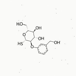 OCc1cccc(O[C@@H]2[C@@H](O)[C@H](O)[C@@H](CO)O[C@H]2S)c1